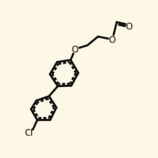 O=COCCOc1ccc(-c2ccc(Cl)cc2)cc1